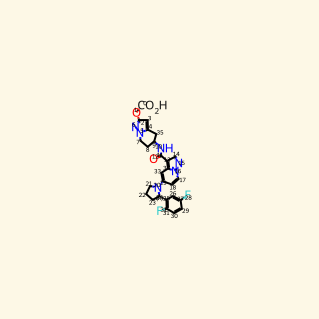 O=C(O)Oc1cc2n(n1)CCC(NC(=O)c1cnn3ccc(N4CCC[C@@H]4c4cc(F)ccc4F)cc13)C2